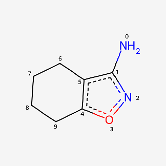 Nc1noc2c1CCCC2